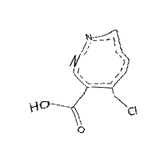 O=C(O)c1nnccc1Cl